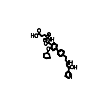 O=C(O)CCS(=O)(=O)NC(=O)c1ccc(-c2ccc(CCNC[C@H](O)c3cccnc3)cc2)cc1OC1CCCCC1